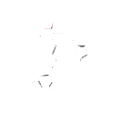 O=C(O)c1ccc(CCCN2C(=O)OCC[C@@H]2/C=C/[C@@H](O)C(F)(F)c2cc(Cl)cc(Cl)c2)s1